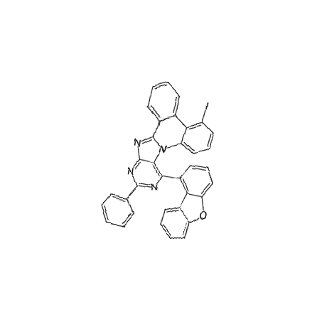 Ic1cccc2c1c1ccccc1c1nc3nc(-c4ccccc4)nc(-c4cccc5oc6ccccc6c45)c3n21